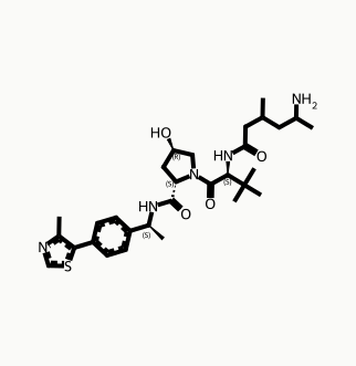 Cc1ncsc1-c1ccc([C@H](C)NC(=O)[C@@H]2C[C@@H](O)CN2C(=O)[C@@H](NC(=O)CC(C)CC(C)N)C(C)(C)C)cc1